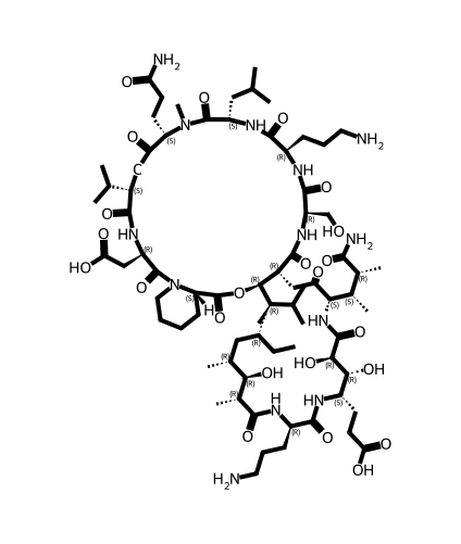 CC[C@@H](C)C[C@@H](C)[C@@H](O)[C@@H](C)C(=O)N[C@H](CCCN)C(=O)N[C@@H](CCC(=O)O)[C@@H](O)[C@@H](O)C(=O)N[C@H](C(=O)C[C@H]1C(=O)N[C@H](CO)C(=O)N[C@H](CCCN)C(=O)N[C@@H](CC(C)C)C(=O)N(C)[C@@H](CCC(N)=O)C(=O)C[C@@H](C(C)C)C(=O)N[C@H](CC(=O)O)C(=O)N2CCCC[C@H]2C(=O)O[C@@H]1[C@H](C)C(C)C)[C@@H](C)[C@@H](C)C(N)=O